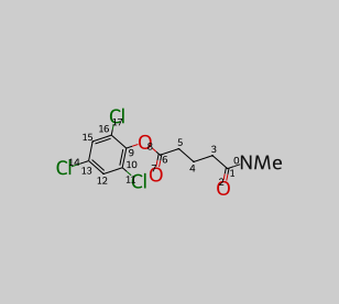 CNC(=O)CCCC(=O)Oc1c(Cl)cc(Cl)cc1Cl